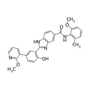 COc1cccc(C)c1NC(=O)c1ccc2[nH]c(-c3cc(-c4cccnc4OC)ccc3O)nc2c1